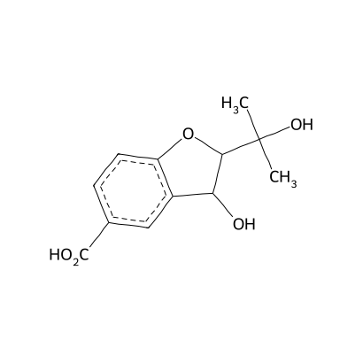 CC(C)(O)C1Oc2ccc(C(=O)O)cc2C1O